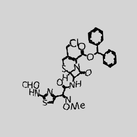 CON=C(C(=O)NC1C(=O)N2C(C(=O)OC(c3ccccc3)c3ccccc3)=C(CCl)CS[C@@H]12)c1csc(NC=O)n1